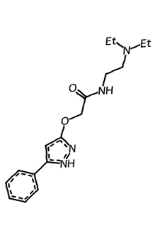 CCN(CC)CCNC(=O)COc1cc(-c2ccccc2)[nH]n1